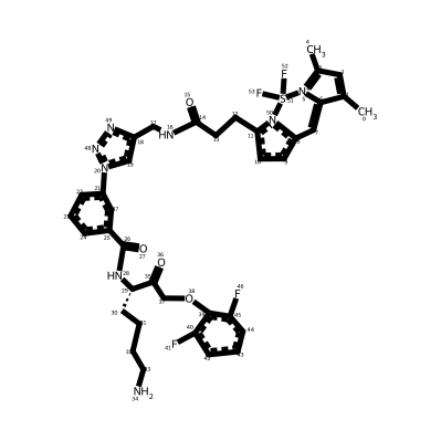 CC1=CC(C)=[N+]2C1=Cc1ccc(CCC(=O)NCc3cn(-c4cccc(C(=O)N[C@@H](CCCCN)C(=O)COc5c(F)cccc5F)c4)nn3)n1S2(F)F